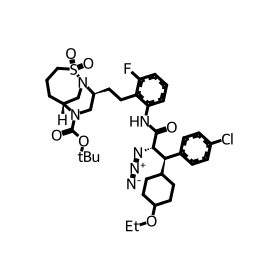 CCOC1CCC([C@H](c2ccc(Cl)cc2)[C@H](N=[N+]=[N-])C(=O)Nc2cccc(F)c2CC[C@H]2CN(C(=O)OC(C)(C)C)[C@@H]3CCCS(=O)(=O)N2C3)CC1